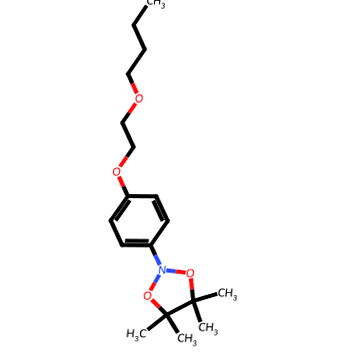 CCCCOCCOc1ccc(N2OC(C)(C)C(C)(C)O2)cc1